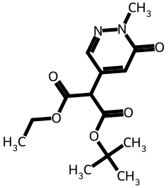 CCOC(=O)C(C(=O)OC(C)(C)C)c1cnn(C)c(=O)c1